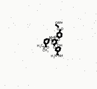 COCCOC(=O)c1ccc(Oc2c(F)c(Oc3cccc(C(=O)N(C)C)c3)nc(Oc3cc(C(=N)N)ccc3O)c2F)c(OC)c1